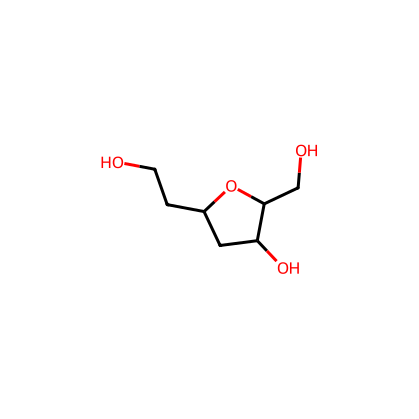 OCCC1CC(O)C(CO)O1